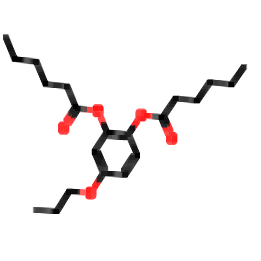 CCCCCC(=O)Oc1ccc(OCCC)cc1OC(=O)CCCCC